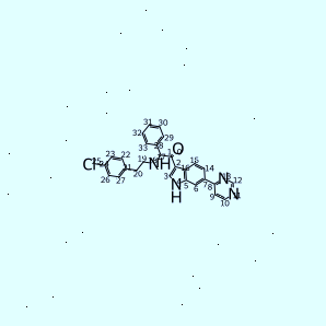 O=C(c1c[nH]c2cc(-c3ccncn3)ccc12)C(NCCc1ccc(Cl)cc1)c1ccccc1